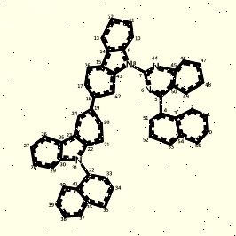 c1ccc2c(-c3nc(-n4c5ccccc5c5ccc(-c6ccc7c(c6)c6ccccc6n7-c6cccc7ccccc67)cc54)nc4ccccc34)cccc2c1